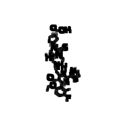 CCOC(=O)C1=C(CN2CCN3C(=S)N([C@@H]4CC[C@H](C(=O)O)C4)C[C@H]3C2)NC(c2nccs2)=N[C@H]1c1cccc(F)c1C